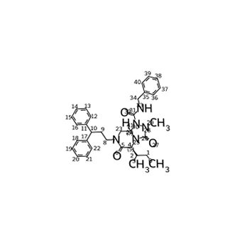 CCC(C)[C@H]1C(=O)N(CCC(c2ccccc2)c2ccccc2)C[C@H]2N1C(=O)N(C)N2C(=O)NCc1ccccc1